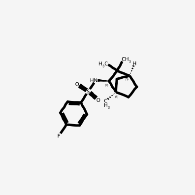 CC1(C)[C@H]2CC[C@](C)(C2)[C@H]1NS(=O)(=O)c1ccc(F)cc1